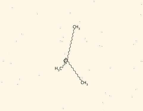 CCCCCCCCCCCCCCCCCCn1cc[n+](CCCC)c1CCCCCCCCCCCCCC